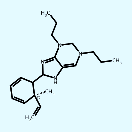 C=C[C@@]1(C)C=CC=CC1C1N=C2C(=CN(CCC)CN2CCC)N1